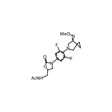 CON=C1CN(c2c(F)cc(N3CC(CNC(C)=O)OC3=O)cc2F)CC12CC2